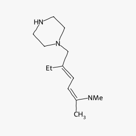 CC/C(=C\C=C(\C)NC)CN1CCNCC1